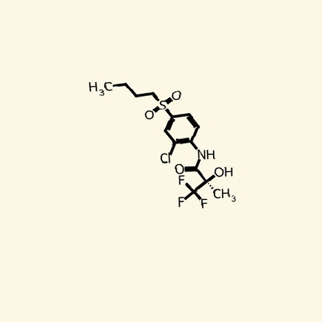 CCCCS(=O)(=O)c1ccc(NC(=O)[C@@](C)(O)C(F)(F)F)c(Cl)c1